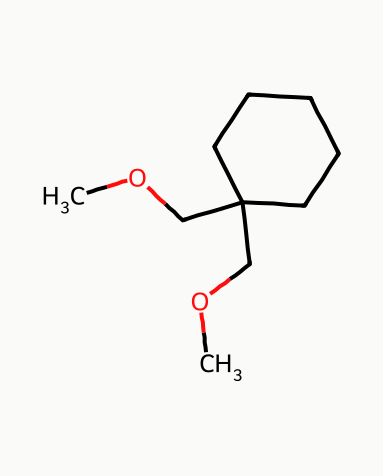 COCC1(COC)CCCCC1